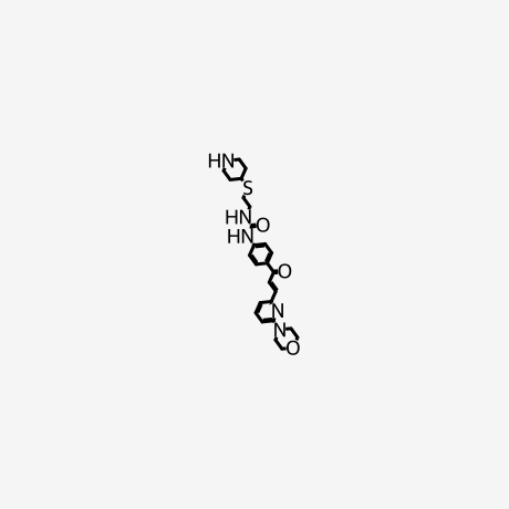 O=C(NCCSC1CCNCC1)Nc1ccc(C(=O)C=Cc2cccc(N3CCOCC3)n2)cc1